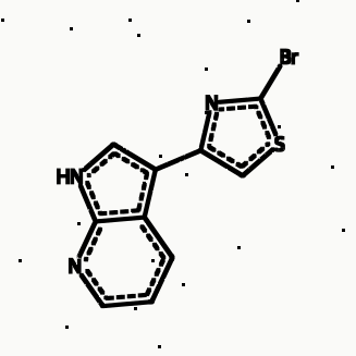 Brc1nc(-c2c[nH]c3ncccc23)cs1